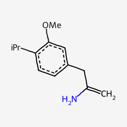 C=C(N)Cc1ccc(C(C)C)c(OC)c1